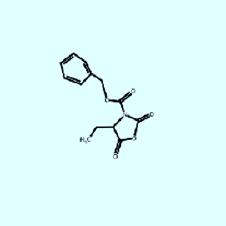 CCC1C(=O)OC(=O)N1C(=O)OCc1ccccc1